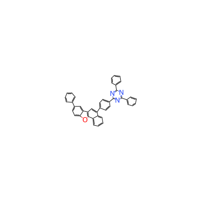 c1ccc(-c2ccc3oc4c5ccccc5c(-c5ccc(-c6nc(-c7ccccc7)nc(-c7ccccc7)n6)cc5)cc4c3c2)cc1